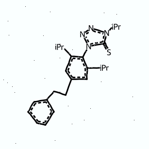 CC(C)c1cc(CCc2ccccc2)cc(C(C)C)c1-n1nnn(C(C)C)c1=S